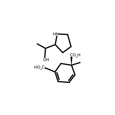 CC(O)C1CCCN1.C[C@]1(C(=O)O)C=CC=C(C(=O)O)C1